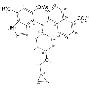 COc1cc(C)c2[nH]ccc2c1CN1CC[C@H](OCC2CC2)C[C@H]1c1ccc(C(=O)O)c2ccccc12